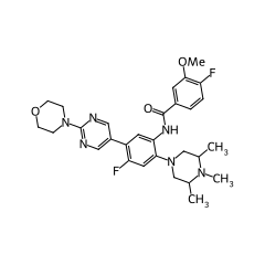 COc1cc(C(=O)Nc2cc(-c3cnc(N4CCOCC4)nc3)c(F)cc2N2CC(C)N(C)C(C)C2)ccc1F